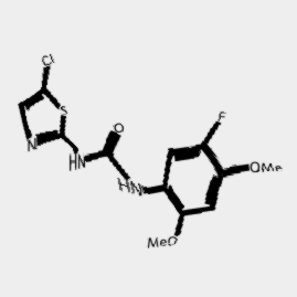 COc1cc(OC)c(NC(=O)Nc2ncc(Cl)s2)cc1F